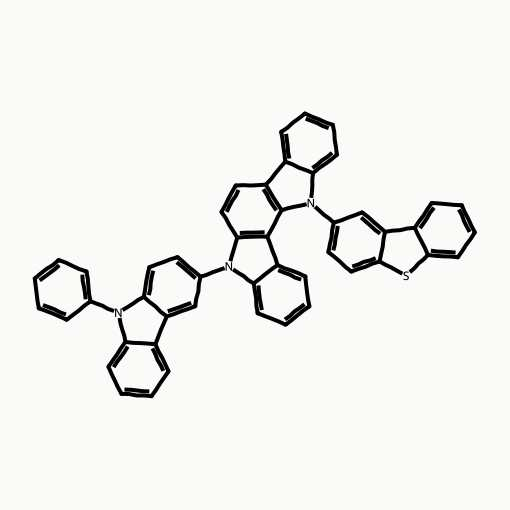 c1ccc(-n2c3ccccc3c3cc(-n4c5ccccc5c5c4ccc4c6ccccc6n(-c6ccc7sc8ccccc8c7c6)c45)ccc32)cc1